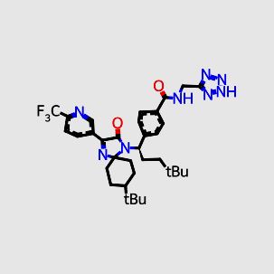 CC(C)(C)CC[C@H](c1ccc(C(=O)NCc2nn[nH]n2)cc1)N1C(=O)C(c2ccc(C(F)(F)F)nc2)=NC12CCC(C(C)(C)C)CC2